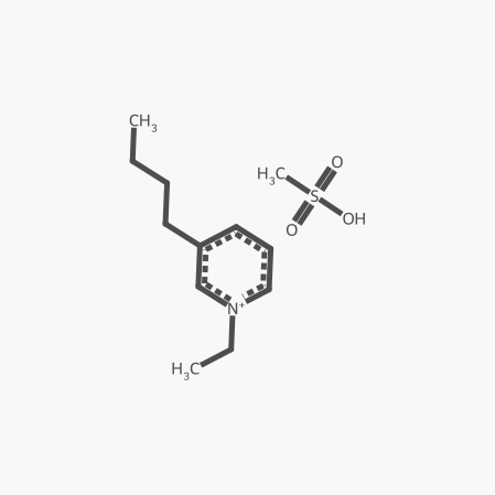 CCCCc1ccc[n+](CC)c1.CS(=O)(=O)O